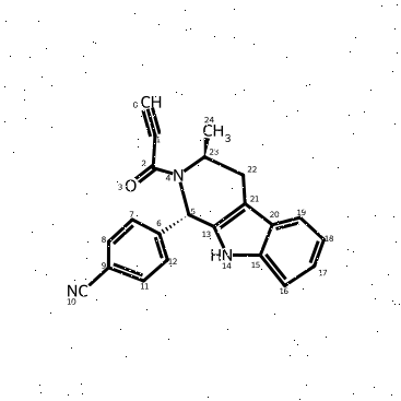 C#CC(=O)N1[C@@H](c2ccc(C#N)cc2)c2[nH]c3ccccc3c2C[C@@H]1C